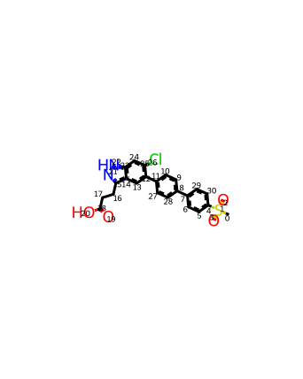 CS(=O)(=O)c1ccc(-c2ccc(-c3cc4c(CCC(=O)O)n[nH]c4cc3Cl)cc2)cc1